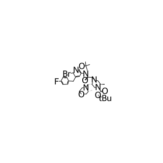 C[C@@H]1COCCN1C[C@H]1CN(C(=O)OC(C)(C)C)[C@H](C)CN1CC(=O)N1CC(C)(C)Oc2nc(Br)c(Cc3ccc(F)cc3)cc21